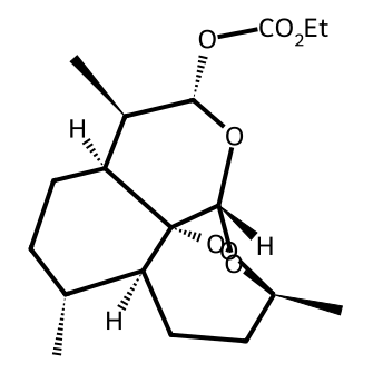 CCOC(=O)O[C@@H]1O[C@@H]2O[C@@]3(C)CC[C@H]4[C@H](C)CC[C@@H]([C@H]1C)[C@@]24OO3